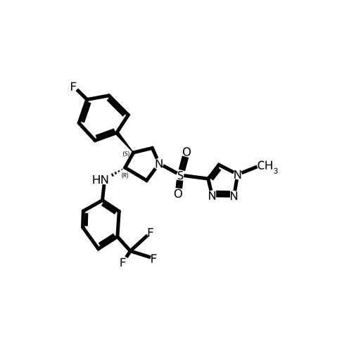 Cn1cc(S(=O)(=O)N2C[C@H](Nc3cccc(C(F)(F)F)c3)[C@@H](c3ccc(F)cc3)C2)nn1